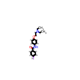 CCN(CC)CCOc1ccc(NC(=O)c2ccc(I)cc2)cc1